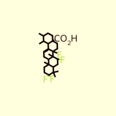 CC1CCC2(C(=O)O)CCC3(C)C(=CCC4C5(C)CCC(F)(F)C(C)(C)C5CC(F)(F)C43C)C2C1C